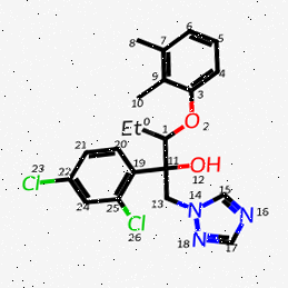 CCC(Oc1cccc(C)c1C)C(O)(Cn1cncn1)c1ccc(Cl)cc1Cl